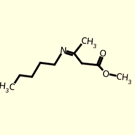 CCCCCN=C(C)CC(=O)OC